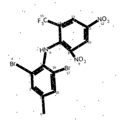 Cc1cc(Br)c(Nc2c([N+](=O)[O-])cc([N+](=O)[O-])cc2C(F)(F)F)c(Br)c1